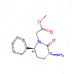 COC(=O)CN1C(=O)[C@@H](N)CC[C@H]1c1ccccc1